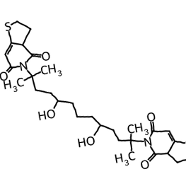 CC(C)(CCC(O)CCCC(O)CCC(C)(C)N1C(=O)C=C2SCCC2C1=O)N1C(=O)C=C2SCCC2C1=O